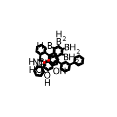 Bc1c(B)c(B)c2c(-c3cccc(-c4ccccc4)c3)c3c(O)c(O)c(O)c(B)c3c(-c3ccccc3-c3nc4ccccc4n3-c3ccccc3)c2c1B